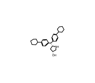 O[C@H]1CN[C@@H](C(c2ccc(C3CCCCC3)cc2)c2ccc(C3CCCCC3)cc2)C1